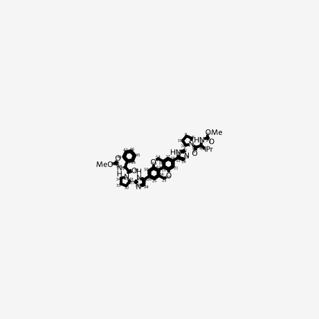 COC(=O)NC(C(=O)N1CCC[C@H]1c1ncc(-c2cc3c4c(c2)OCc2cc(-c5cnc([C@@H]6CCCN6C(=O)[C@H](NC(=O)OC)c6ccccc6)[nH]5)cc(c2-4)OC3)[nH]1)C(C)C